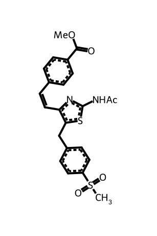 COC(=O)c1ccc(/C=C\c2nc(NC(C)=O)sc2Cc2ccc(S(C)(=O)=O)cc2)cc1